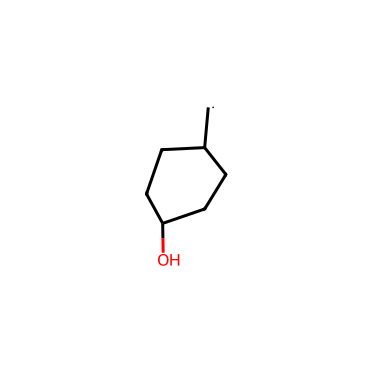 [CH2]C1CCC(O)CC1